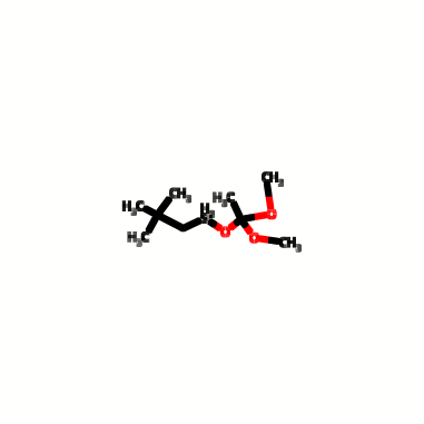 COC(C)(OC)O[SiH2]CC(C)(C)C